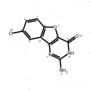 Nc1nc2c(oc3ccc(Cl)cc32)c(=O)[nH]1